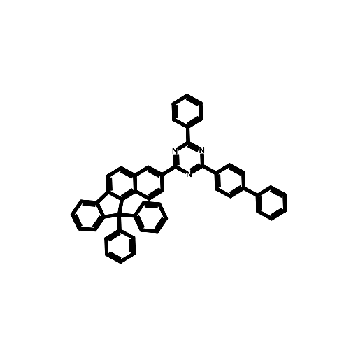 c1ccc(-c2ccc(-c3nc(-c4ccccc4)nc(-c4ccc5c6c(ccc5c4)-c4ccccc4C6(c4ccccc4)c4ccccc4)n3)cc2)cc1